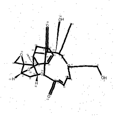 CC1CCOC(CO)/C=C/C=C\C(=O)O[C@@H]2C[C@H]3OC4C=CCC[C@]4(COC(=O)[C@@H]1O)[C@]2(C)C31CO1